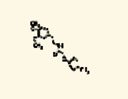 COc1ccc(CCNC(=O)COc2ccc(C)cc2)cc1OC